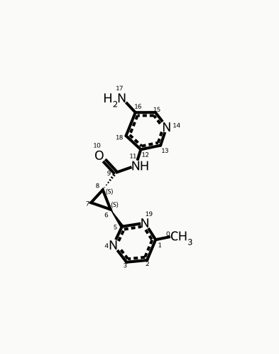 Cc1ccnc([C@H]2C[C@@H]2C(=O)Nc2cncc(N)c2)n1